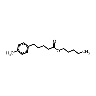 CCCCCOC(=O)CCCCc1ccc(C)cc1